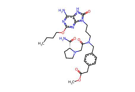 CCCCOc1nc(N)c2[nH]c(=O)n(CCCN(Cc3ccc(CC(=O)OC)cc3)C(=O)CN3CCC[C@@H]3C(N)=O)c2n1